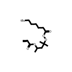 C=CC(=O)OC(C)CC(C)(C)OOC(=O)CCCCCC(C)(C)C